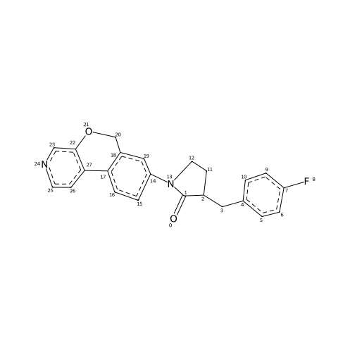 O=C1C(Cc2ccc(F)cc2)CCN1c1ccc2c(c1)COc1cnccc1-2